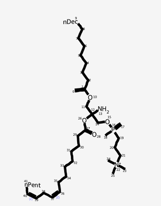 C=C(CCCCCCCCCCCCCCCCC)OCC(N)(COP(=C)(C)CCC[N+](C)(C)C)OC(=O)CCCCCCC/C=C\C/C=C\CCCCC